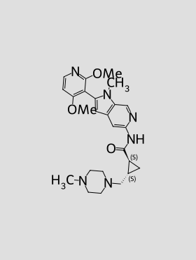 COc1ccnc(OC)c1-c1cc2cc(NC(=O)[C@H]3C[C@@H]3CN3CCN(C)CC3)ncc2n1C